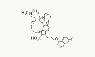 CCc1c2c(nn1C)C(CCN(C)C)OCCCCn1c(C(=O)O)c(CCCOc3cccc4cc(F)ccc34)c3ccc(Cl)c-2c31